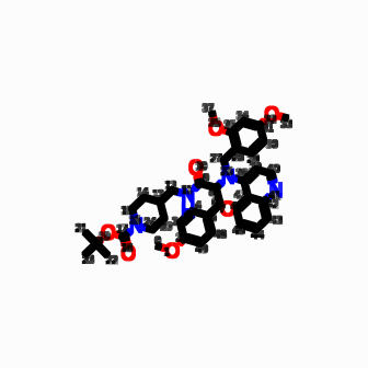 COc1ccc(C(=O)C(C(=O)NCC2CCN(C(=O)OC(C)(C)C)CC2)N(Cc2ccc(OC)cc2OC)c2ccnc3ccccc23)cc1